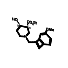 CCOC(=O)[C@@H]1CN(CC2=Cc3ccc(OC)cc32)CC[C@@H]1O